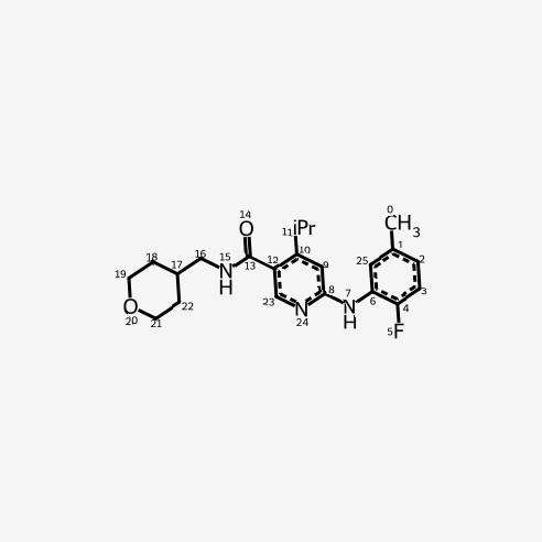 Cc1ccc(F)c(Nc2cc(C(C)C)c(C(=O)NCC3CCOCC3)cn2)c1